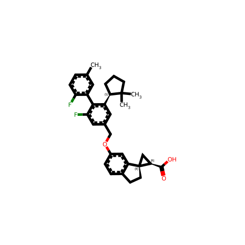 Cc1ccc(F)c(-c2c(F)cc(COc3ccc4c(c3)[C@]3(CC4)C[C@H]3C(=O)O)cc2[C@H]2CCCC2(C)C)c1